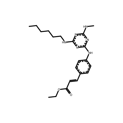 CCCCCCNc1nc(NC)nc(Nc2ccc(C=CC(=O)OCC)cc2)n1